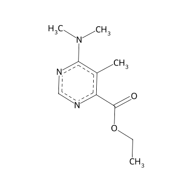 CCOC(=O)c1ncnc(N(C)C)c1C